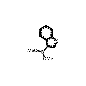 COB(OC)c1csc2ccccc12